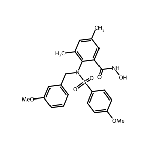 COc1ccc(S(=O)(=O)N(Cc2cccc(OC)c2)c2c(C)cc(C)cc2C(=O)NO)cc1